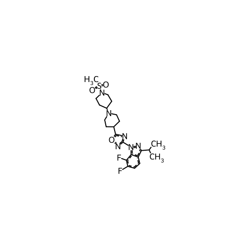 CC(C)c1nn(-c2noc(C3CCN(C4CCN(S(C)(=O)=O)CC4)CC3)n2)c2c(F)c(F)ccc12